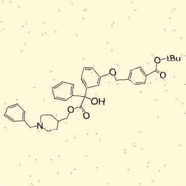 CC(C)(C)OC(=O)c1ccc(COc2cccc(C(O)(C(=O)OCC3CCN(Cc4ccccc4)CC3)c3ccccc3)c2)cc1